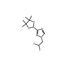 CC1(C)OB(c2ncn(CC(F)F)n2)OC1(C)C